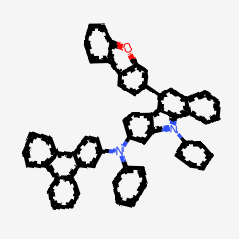 c1ccc(N(c2ccc3c4ccccc4c4ccccc4c3c2)c2ccc3c4c(-c5ccc6c(c5)oc5ccccc56)cc5ccccc5c4n(-c4ccccc4)c3c2)cc1